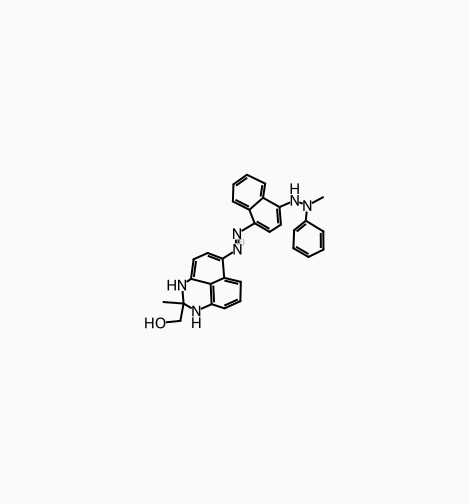 CN(Nc1ccc(/N=N/c2ccc3c4c(cccc24)NC(C)(CO)N3)c2ccccc12)c1ccccc1